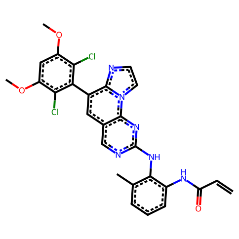 C=CC(=O)Nc1cccc(C)c1Nc1ncc2cc(-c3c(Cl)c(OC)cc(OC)c3Cl)c3nccn3c2n1